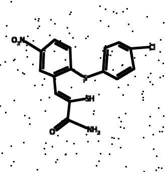 NC(=O)/C(S)=C/c1cc([N+](=O)[O-])ccc1Sc1ccc(Cl)cc1